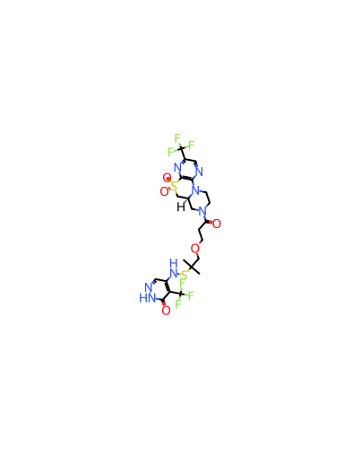 CC(C)(COCCC(=O)N1CCN2c3ncc(C(F)(F)F)nc3S(=O)(=O)C[C@@H]2C1)SNc1cn[nH]c(=O)c1C(F)(F)F